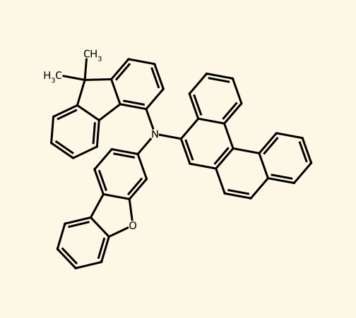 CC1(C)c2ccccc2-c2c(N(c3ccc4c(c3)oc3ccccc34)c3cc4ccc5ccccc5c4c4ccccc34)cccc21